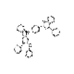 c1ccc(-c2cc(-c3ccc(-n4c5ccccc5c5cc6c(cc54)Oc4ccccc4-c4ccccc4-6)cc3)nc3ccccc23)cc1